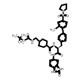 Cc1cc(S(=O)(=O)N2CCCC2)ccc1-c1ccc(C[C@H](NC(=O)C2CCC(CNC(=O)OC(C)(C)C)CC2)C(=O)Nc2ccc3[nH]c(=O)[nH]c3c2)cc1